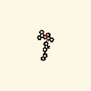 CC1(C)c2cc(-c3ccc4ccccc4c3)ccc2-c2ccc(N(c3ccc4c5ccccc5c5ccccc5c4c3)c3ccccc3-c3ccccc3)cc21